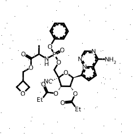 CCC(=O)O[C@H]1[C@H](c2ccc3c(N)ncnn23)O[C@](C#N)(COP(=O)(NC(C)C(=O)OCC2COC2)Oc2ccccc2)[C@H]1OC(=O)CC